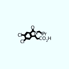 CC(C)CN1C(=O)c2cc(Cl)c(Cl)cc2C1CC(=O)O